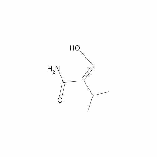 CC(C)C(=CO)C(N)=O